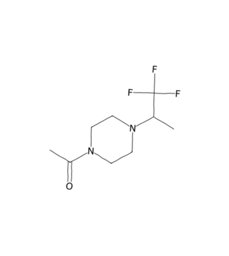 CC(=O)N1CCN(C(C)C(F)(F)F)CC1